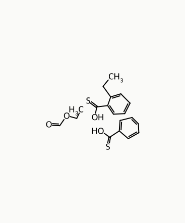 CCOC=O.CCc1ccccc1C(O)=S.OC(=S)c1ccccc1